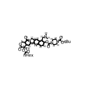 CCCCCCC(=O)O[C@]1(CC)C(=O)OCc2c1cc1n(c2=O)Cc2cc3c(CN(C)C)c(OC(=O)N4CCN(C(=O)OC(C)(C)C)CC4)ccc3nc2-1